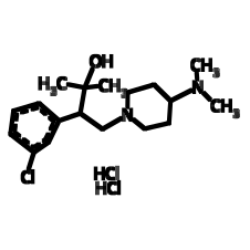 CN(C)C1CCN(CC(c2cccc(Cl)c2)C(C)(C)O)CC1.Cl.Cl